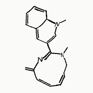 C=C1/C=C\C=C/CN(C)/C(C2=CN(C)C3C=CC=CC3=C2)=N\1